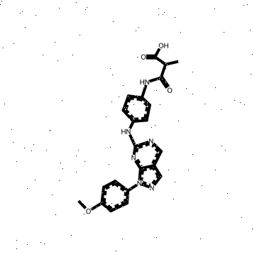 COc1ccc(-n2ncc3cnc(Nc4ccc(NC(=O)C(C)C(=O)O)cc4)nc32)cc1